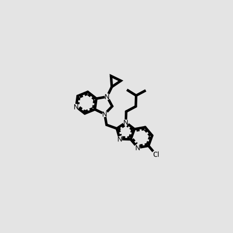 CC(C)CCn1c(CN2CN(C3CC3)c3ccncc32)nc2nc(Cl)ccc21